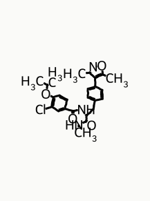 CNC(=O)C(Cc1ccc(-c2c(C)noc2C)cc1)NC(=O)c1ccc(OC(C)C)c(Cl)c1